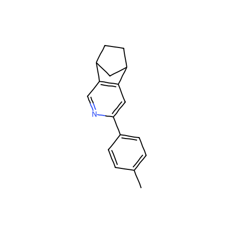 Cc1ccc(-c2cc3c(cn2)C2CCC3C2)cc1